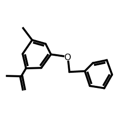 C=C(C)c1cc(C)cc(OCc2ccccc2)c1